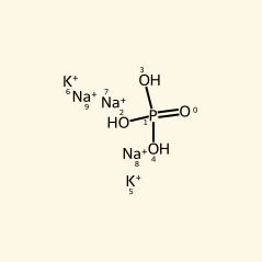 O=P(O)(O)O.[K+].[K+].[Na+].[Na+].[Na+]